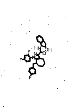 O=C(N[C@@H]1c2ccccc2C[C@@H]1O)c1nn(-c2ccc(F)cc2F)c2c1CCCCC2Cc1ccc(F)cc1